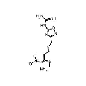 CSC(CCSCc1noc(NC(=N)N)n1)=C(N)[N+](=O)[O-]